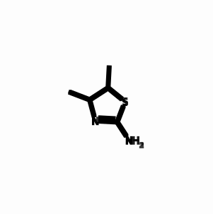 CC1N=C(N)SC1C